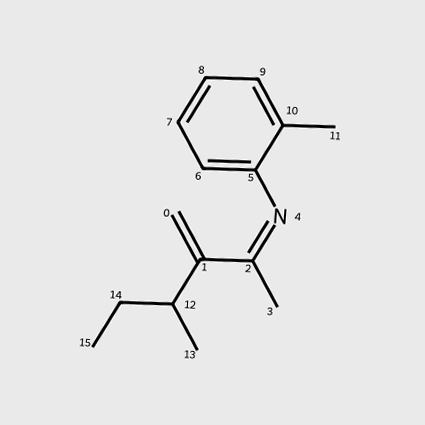 C=C(/C(C)=N\c1ccccc1C)C(C)CC